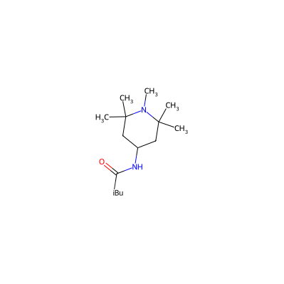 CCC(C)C(=O)NC1CC(C)(C)N(C)C(C)(C)C1